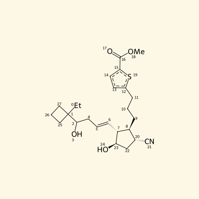 CCC1(C(O)C/C=C/[C@@H]2[C@@H](CCCc3ccc(C(=O)OC)s3)[C@H](C#N)C[C@H]2O)CCC1